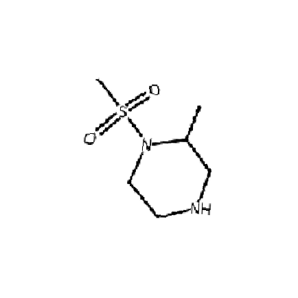 CC1CNCCN1S(C)(=O)=O